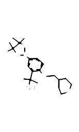 CC(C)(N)c1cc(B2OC(C)(C)C(C)(C)O2)ccc1OCC1CCOCC1